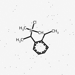 CCc1ccccc1C(C)[Si](C)(C)Cl